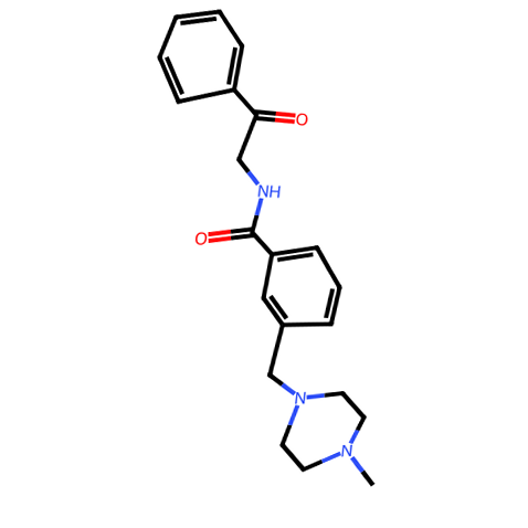 CN1CCN(Cc2cccc(C(=O)NCC(=O)c3ccccc3)c2)CC1